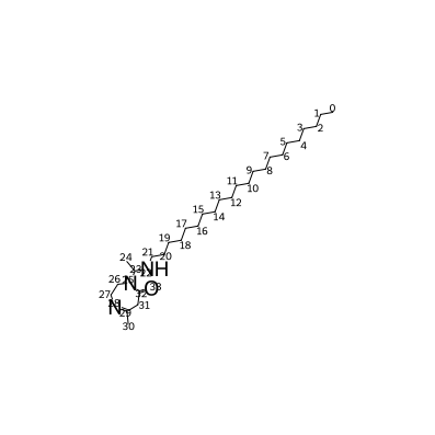 CCCCCCCCCCCCCCCCCCCCCCNC(C)N1CCN=C(C)CC1=O